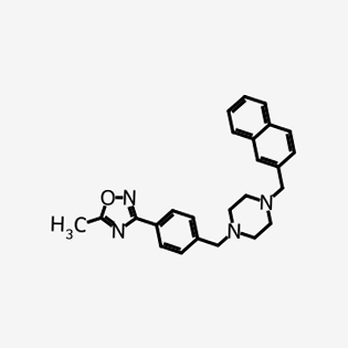 Cc1nc(-c2ccc(CN3CCN(Cc4ccc5ccccc5c4)CC3)cc2)no1